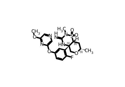 COc1cncc(Oc2ccc(F)c([C@]34CO[C@@H](C)C[C@H]3S(=O)(=O)N(C)C(=N)N4)c2)n1